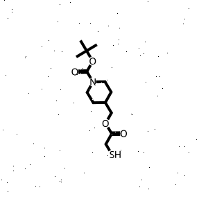 CC(C)(C)OC(=O)N1CCC(COC(=O)CS)CC1